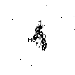 CN1CCN(Cc2ccc(NC(=O)C3CCc4c(c(-c5ccc(O)cc5)nc5ccc6[nH]ncc6c45)C3)cc2C(F)(F)F)CC1